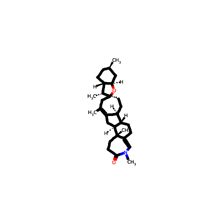 CC1=C2C[C@H]3[C@@H](CCC4=CN(C)C(=O)CC[C@@]43C)[C@@H]2CC[C@@]2(C1)O[C@@H]1C[C@H](C)CC[C@H]1[C@H]2C